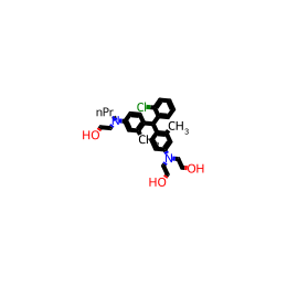 CCCN(CCO)c1ccc(C(c2ccc(N(CCO)CCO)cc2C)c2ccccc2Cl)c(C)c1